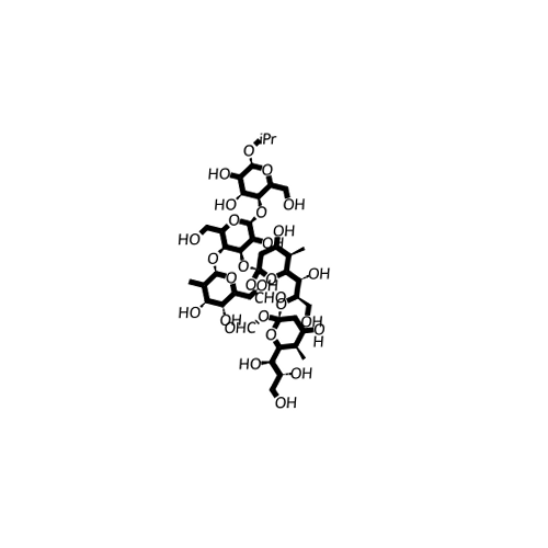 CC(C)O[C@@H]1OC(CO)[C@@H](O[C@@H]2OC(CO)[C@H](O[C@@H]3OC(CO)[C@H](O)[C@H](O)C3C)[C@H](O[C@]3(OC=O)CC(O)[C@@H](C)C([C@H](O)[C@@H](CO)O[C@]4(OC=O)CC(O)[C@@H](C)C([C@H](O)[C@H](O)CO)O4)O3)C2O)[C@H](O)C1O